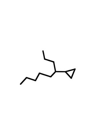 CCCCCC(CCC)C1CC1